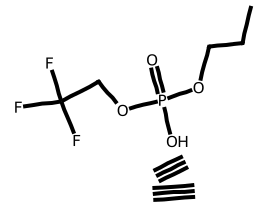 C#C.C#C.CCCOP(=O)(O)OCC(F)(F)F